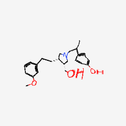 COc1cccc(CC[C@@H]2CN(CC(C)c3ccc(O)cc3)C[C@@H]2CO)c1